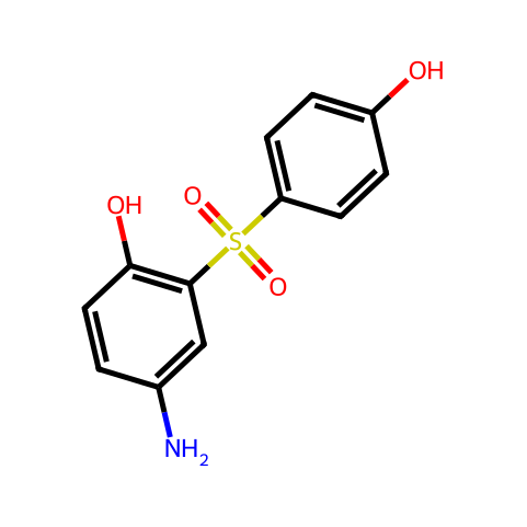 Nc1ccc(O)c(S(=O)(=O)c2ccc(O)cc2)c1